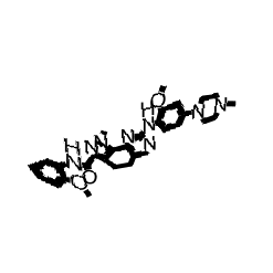 COc1ccccc1NC(=O)c1nn(C)c2c1CCc1cnc(Nc3ccc(N4CCN(C)CC4)cc3OC)nc1-2